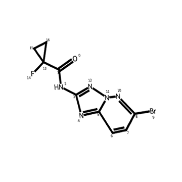 O=C(Nc1nc2ccc(Br)nn2n1)C1(F)CC1